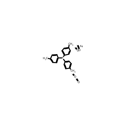 Cc1ccc(P(c2ccc(C)cc2)c2ccc(C)cc2)cc1.[C]=O.[C]=O.[C]=O.[C]=O.[Fe]